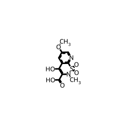 COc1cnc2c(c1)C(O)=C(C(=O)O)N(C)S2(=O)=O